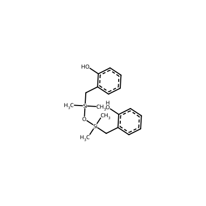 C[Si](C)(Cc1ccccc1O)O[Si](C)(C)Cc1ccccc1O